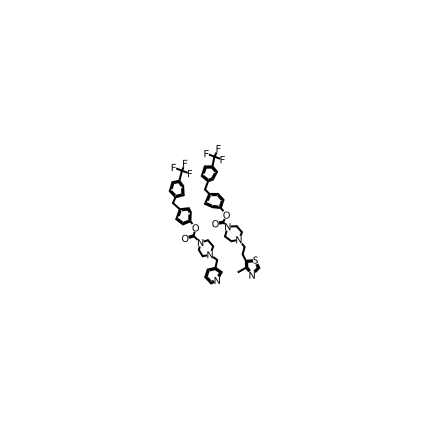 Cc1ncsc1CCN1CCN(C(=O)Oc2ccc(Cc3ccc(C(F)(F)F)cc3)cc2)CC1.O=C(Oc1ccc(Cc2ccc(C(F)(F)F)cc2)cc1)N1CCN(Cc2cccnc2)CC1